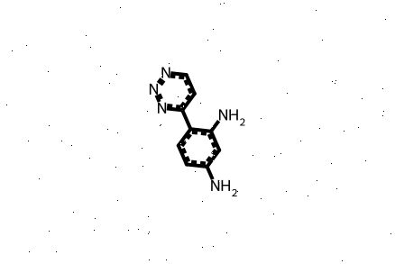 Nc1ccc(-c2ccnnn2)c(N)c1